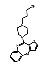 OCCCN1CCN(C2=Nc3ccccc3Nc3ccsc32)CC1